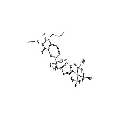 CCCn1c(=O)c2cc(S(=O)(=O)Nc3ccc(C(C(F)(F)F)(C(F)(F)F)C(F)(F)F)cc3F)ccc2n(CCC)c1=O